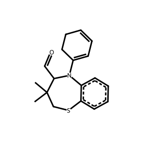 CC1(C)CSc2ccccc2N(C2=CC=CCC2)C1C=O